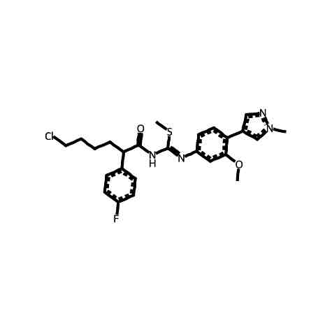 COc1cc(N=C(NC(=O)C(CCCCCl)c2ccc(F)cc2)SC)ccc1-c1cnn(C)c1